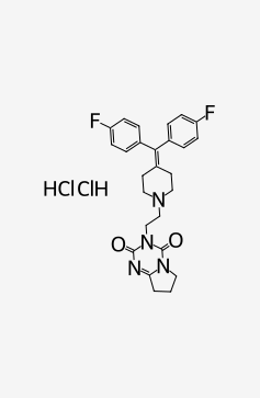 Cl.Cl.O=c1nc2n(c(=O)n1CCN1CCC(=C(c3ccc(F)cc3)c3ccc(F)cc3)CC1)CCC2